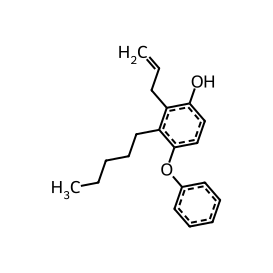 C=CCc1c(O)ccc(Oc2ccccc2)c1CCCCC